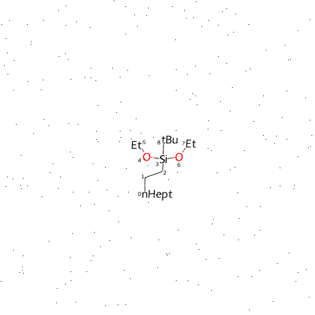 CCCCCCCCC[Si](OCC)(OCC)C(C)(C)C